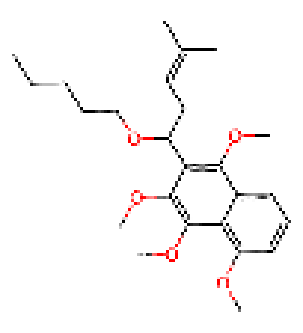 CCCCCOC(CC=C(C)C)c1c(OC)c(OC)c2c(OC)cccc2c1OC